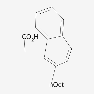 CC(=O)O.CCCCCCCCc1ccc2ccccc2c1